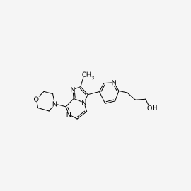 Cc1nc2c(N3CCOCC3)nccn2c1-c1ccc(CCCO)nc1